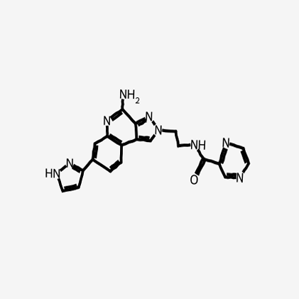 Nc1nc2cc(-c3cc[nH]n3)ccc2c2cn(CCNC(=O)c3cnccn3)nc12